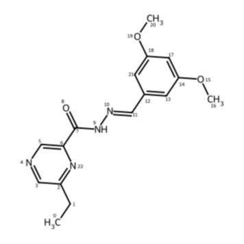 CCc1cncc(C(=O)N/N=C/c2cc(OC)cc(OC)c2)n1